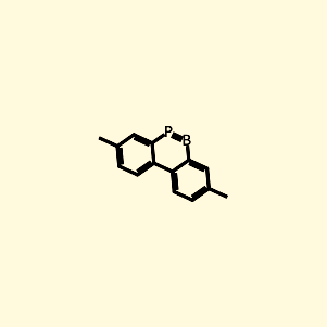 Cc1ccc2c(bpc3cc(C)ccc32)c1